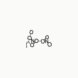 C=C/C=C\C(=C)c1ccc(-c2ccccc2)cc1-n1c2ccccc2c2cc(-c3ccc4c(c3)c3ccccc3n4-c3ccccc3)ccc21